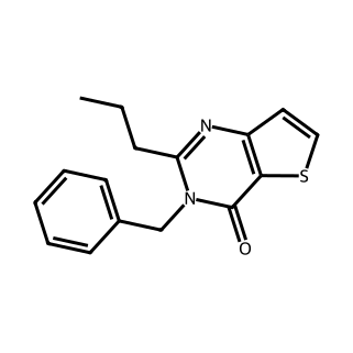 CCCc1nc2ccsc2c(=O)n1Cc1ccccc1